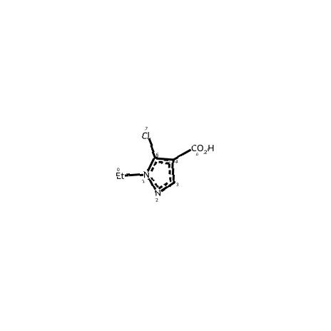 CCn1ncc(C(=O)O)c1Cl